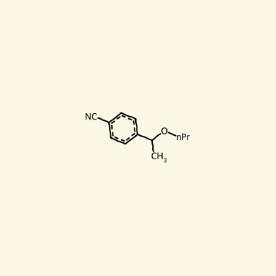 CCCOC(C)c1ccc(C#N)cc1